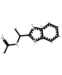 [CH2]C(SC(C)=O)c1nc2ccccc2s1